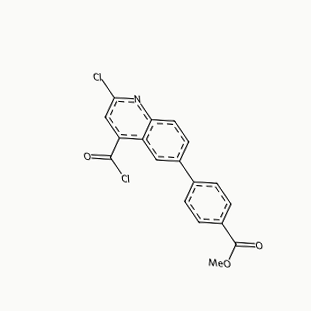 COC(=O)c1ccc(-c2ccc3nc(Cl)cc(C(=O)Cl)c3c2)cc1